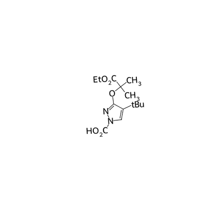 CCOC(=O)C(C)(C)Oc1nn(C(=O)O)cc1C(C)(C)C